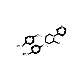 Cc1ccc(S(=O)(=O)O)cc1.Cc1ccc(S(=O)(=O)O)cc1.NC1CCCCN1c1cccnc1